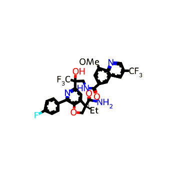 CC[C@@]1(C(N)=O)COc2c1cc(C(O)(CNC(=O)c1cc(OC)c3ncc(C(F)(F)F)cc3c1)C(F)(F)F)nc2-c1ccc(F)cc1